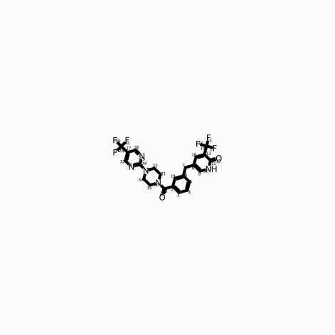 O=C(c1cccc(Cc2c[nH]c(=O)c(C(F)(F)F)c2)c1)N1CCN(c2ncc(C(F)(F)F)cn2)CC1